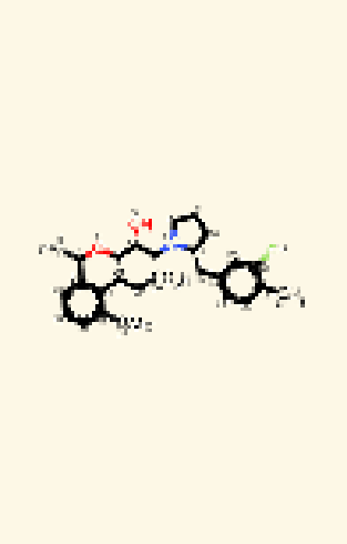 CCCC(OC[C@H](O)CN1CCC[C@H]1Cc1ccc(C)c(F)c1)c1cccc(OC)c1CCC(=O)O